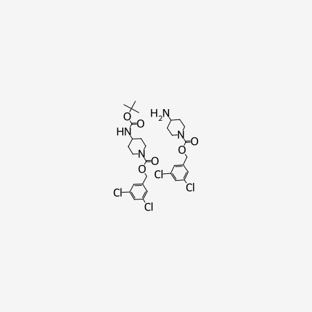 CC(C)(C)OC(=O)NC1CCN(C(=O)OCc2cc(Cl)cc(Cl)c2)CC1.NC1CCN(C(=O)OCc2cc(Cl)cc(Cl)c2)CC1